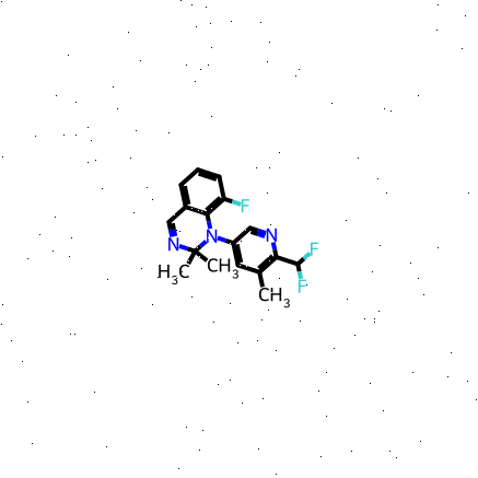 Cc1cc(N2c3c(F)cccc3C=NC2(C)C)cnc1C(F)F